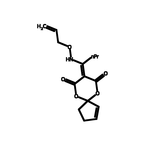 C=CCONC(CCC)=C1C(=O)OC2(C=CCC2)OC1=O